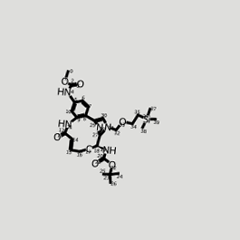 COC(=O)Nc1ccc2c(c1)NC(=O)/C=C/CC[C@H](NC(=O)OC(C)(C)C)c1nc-2cn1COCC[Si](C)(C)C